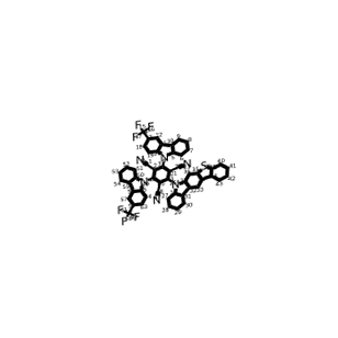 N#Cc1c(-n2c3ccccc3c3cc(C(F)(F)F)ccc32)c(C#N)c(-n2c3ccccc3c3cc4c(cc32)sc2ccccc24)c(C#N)c1-n1c2ccccc2c2cc(C(F)(F)F)ccc21